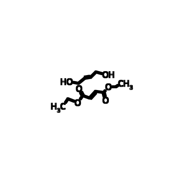 CCOC(=O)C=CC(=O)OCC.OCC=CCO